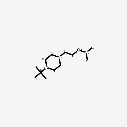 CN(C)OCCN1CCN(C(C)(C)C)CC1